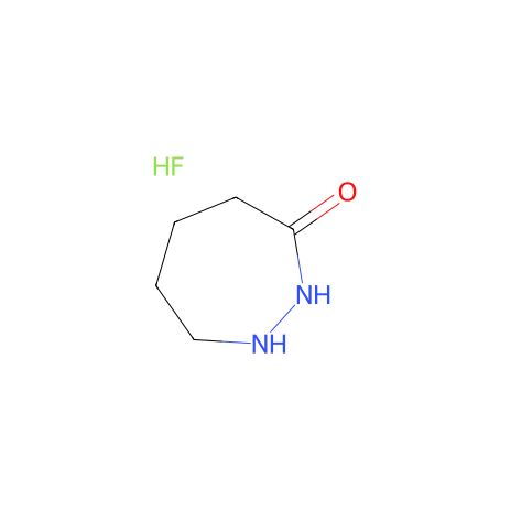 F.O=C1CCCCNN1